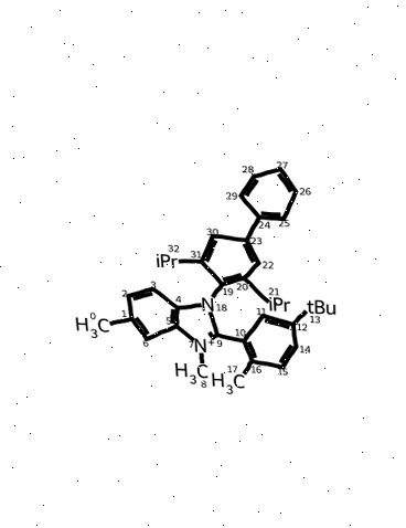 Cc1ccc2c(c1)[n+](C)c(-c1cc(C(C)(C)C)ccc1C)n2-c1c(C(C)C)cc(-c2ccccc2)cc1C(C)C